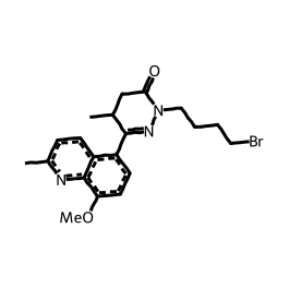 COc1ccc(C2=NN(CCCCBr)C(=O)CC2C)c2ccc(C)nc12